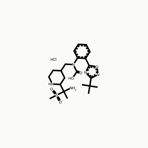 CC(C)(C)c1noc(-c2ccccc2N(CC2CCNC(C(C)(N)S(C)(=O)=O)C2)C(=O)O)n1.Cl